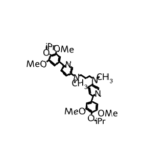 COc1cc(-c2ccc(N(C)CCCN(C)c3ccc(-c4cc(OC)c(OC(C)C)c(OC)c4)nc3)cn2)cc(OC)c1OC(C)C